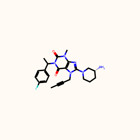 CC#CCn1c(N2CCC[C@@H](N)C2)nc2c1c(=O)n(C(C)c1ccc(F)cc1)c(=O)n2C